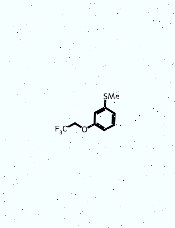 CSc1c[c]cc(OCC(F)(F)F)c1